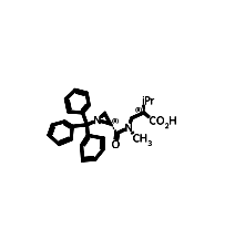 CC(C)[C@H](CN(C)C(=O)[C@H]1CN1C(c1ccccc1)(c1ccccc1)c1ccccc1)C(=O)O